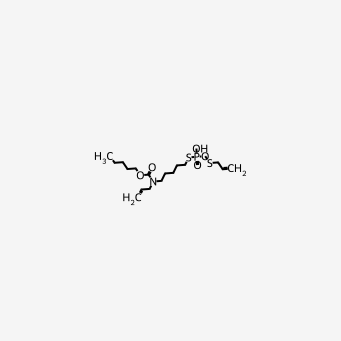 C=CCSOP(=O)(O)SCCCCCN(CC=C)C(=O)OCCCCC